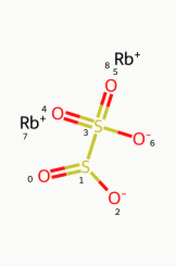 O=S([O-])S(=O)(=O)[O-].[Rb+].[Rb+]